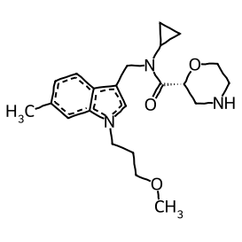 COCCCn1cc(CN(C(=O)[C@H]2CNCCO2)C2CC2)c2ccc(C)cc21